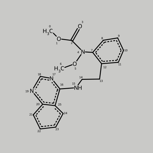 COC(=O)N(OC)c1ccccc1CCNc1ncnc2ccccc12